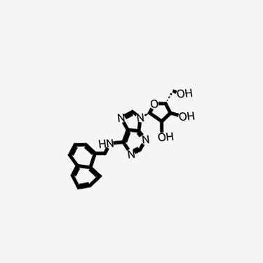 OC[C@H]1O[C@@H](n2cnc3c(NCc4cccc5ccccc45)ncnc32)C(O)C1O